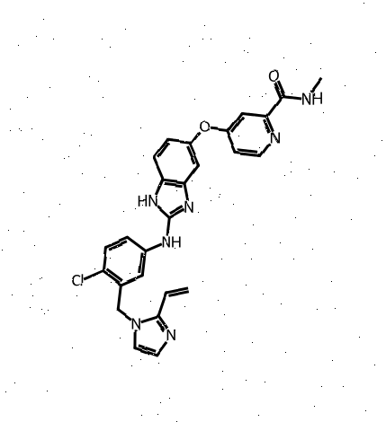 C=Cc1nccn1Cc1cc(Nc2nc3cc(Oc4ccnc(C(=O)NC)c4)ccc3[nH]2)ccc1Cl